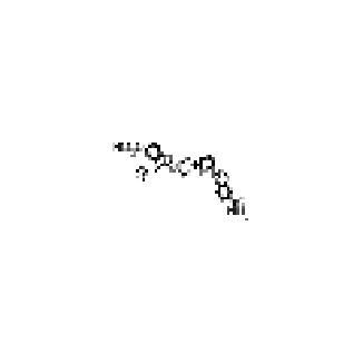 NC(=O)c1ccc2c(c1)CCN(c1cccc(N3CCN(Cc4nc5ccc(C(=O)O)cc5n4C[C@@H]4CCO4)CC3)n1)C2